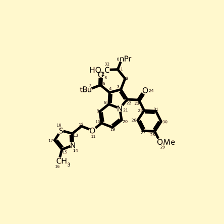 CCCC(Cc1c(C(=O)C(C)(C)C)c2cc(OCc3nc(C)cs3)ccn2c1C(=O)c1ccc(OC)cc1)C(=O)O